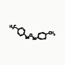 Cc1ccc([Se]O[Se]c2ccc(C)cc2)cc1